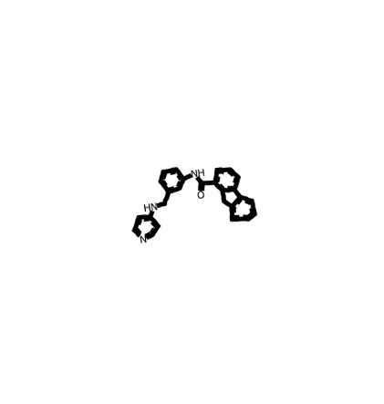 O=C(Nc1cccc(CNc2ccncc2)c1)c1cccc2c1Cc1ccccc1-2